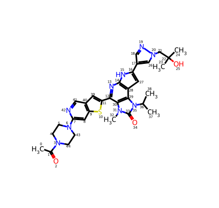 CC(=O)N1CCN(c2cc3sc(-c4nc5[nH]c(-c6cnn(CC(C)(C)O)c6)cc5c5c4n(C)c(=O)n5C(C)C)cc3cn2)CC1